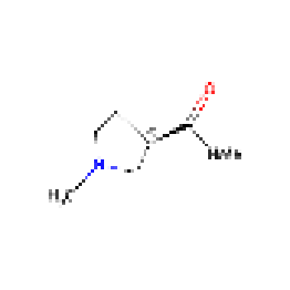 CNC(=O)[C@@H]1CCN(C)C1